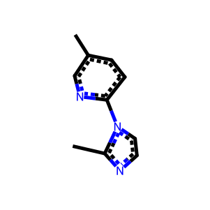 Cc1ccc(-n2ccnc2C)nc1